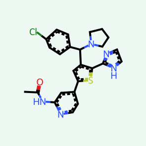 CC(=O)Nc1cc(-c2cc(C(c3ccc(Cl)cc3)N3CCCC3)c(-c3ncc[nH]3)s2)ccn1